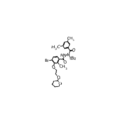 Cc1cc(C)cc(C(=O)N(NC(=O)c2ccc(Br)c(OCCOC3CCCCO3)c2C)C(C)(C)C)c1